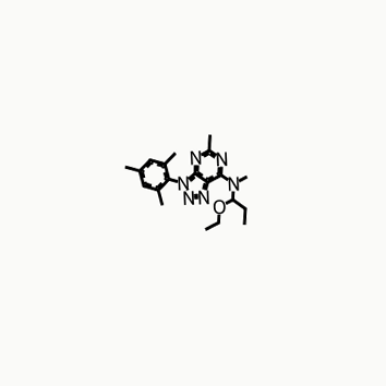 CCOC(CC)N(C)c1nc(C)nc2c1nnn2-c1c(C)cc(C)cc1C